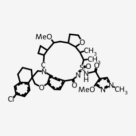 COc1nn(C)cc1C(=O)NS1(=O)=NC(=O)c2ccc3c(c2)N(CC2CCC2C(OC)CC2CCOC2C(C)C1C)CC1(CCCc2cc(Cl)ccc21)CO3